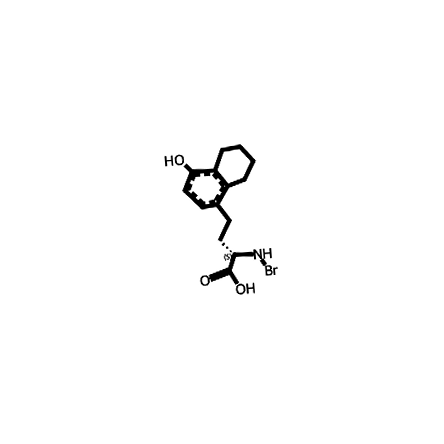 O=C(O)[C@H](CCc1ccc(O)c2c1CCCC2)NBr